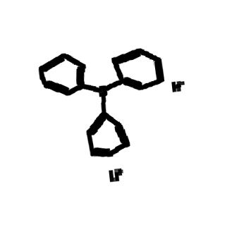 [H-].[Li+].c1ccc(B(c2ccccc2)c2ccccc2)cc1